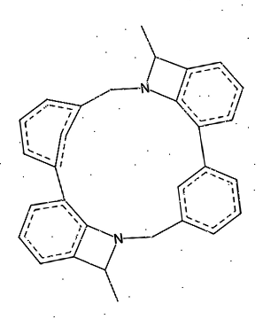 CC1c2cccc3c2N1Cc1cccc(c1)-c1cccc2c1N(Cc1cccc-3c1)C2C